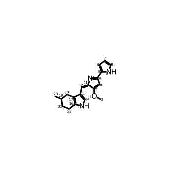 COC1=CC(c2ccc[nH]2)=NC1=Cc1c[nH]c2c1CC(C)CC2